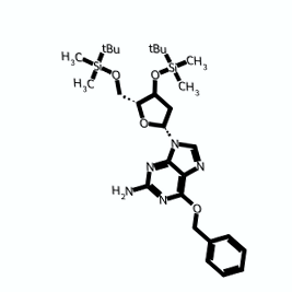 CC(C)(C)[Si](C)(C)OC[C@H]1O[C@@H](n2cnc3c(OCc4ccccc4)nc(N)nc32)CC1O[Si](C)(C)C(C)(C)C